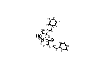 C[C@H](CSCc1ccccc1)C(=O)N(N(C)C)C(C)(SCc1ccccc1)C(=O)O